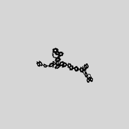 c1ccc2cc(-c3ccc(-c4ccc(N(c5ccc(-c6cccc7c6oc6ccccc67)cc5)c5cccc6c5ccc5cc(-c7ccc8cc(-c9ccc(-c%10ccc(N(c%11ccc(-c%12cccc%13c%12oc%12ccccc%12%13)cc%11)c%11ccc%12ccccc%12c%11)cc%10)cc9)ccc8c7)ccc56)cc4)cc3)ccc2c1